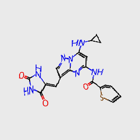 O=C1NC(=O)/C(=C/c2cnn3c(NC4CC4)cc(NC(=O)c4cccs4)nc23)N1